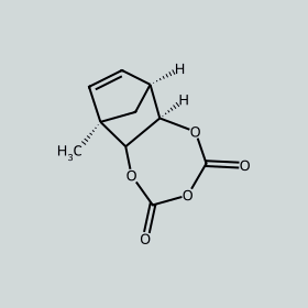 C[C@]12C=C[C@H](C1)[C@H]1OC(=O)OC(=O)OC12